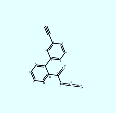 C#Cc1cccc(-c2ccccc2C(=O)N=[N+]=[N-])c1